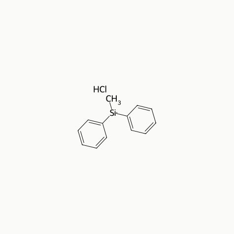 C[Si](c1ccccc1)c1ccccc1.Cl